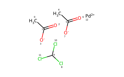 CC(=O)[O-].CC(=O)[O-].ClC(Cl)Cl.[Pd+2]